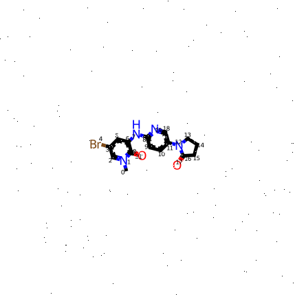 Cn1cc(Br)cc(Nc2ccc(N3CCCC3=O)cn2)c1=O